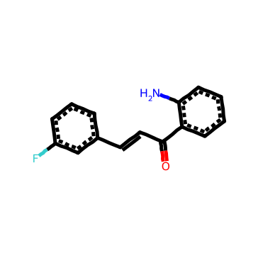 Nc1ccccc1C(=O)/C=C/c1cccc(F)c1